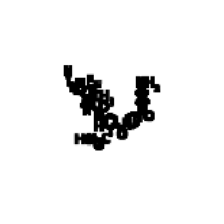 CCc1cc(NC(=O)c2ncc(-c3cn(CC#N)nc3C(F)(F)F)n2C)ccc1C(=O)N1CCN(C(=O)N2CC3(CC(N)C3)C2)CC1.O=CO